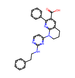 O=C(O)c1cc2c(nc1-c1ccccc1)N(c1ccnc(NCCc3ccccc3)n1)CCC2